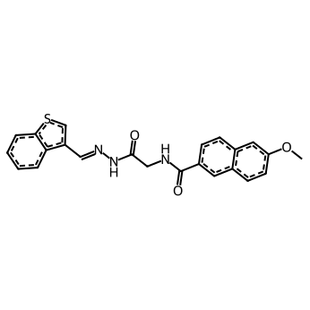 COc1ccc2cc(C(=O)NCC(=O)N/N=C/c3csc4ccccc34)ccc2c1